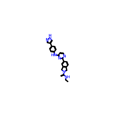 C=C(NCC)N1Cc2ccc(-c3nccc(Nc4ccc(-c5cn[nH]c5)cc4)n3)cc2C1